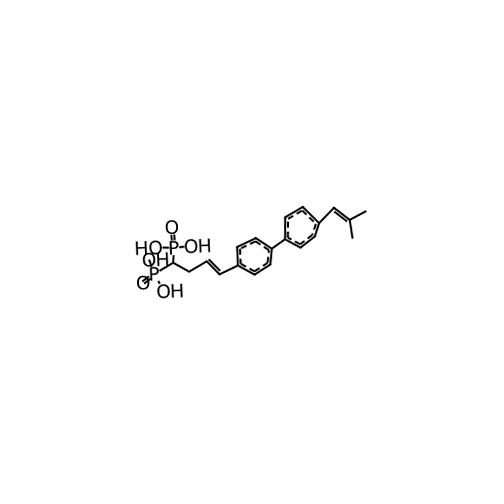 CC(C)=Cc1ccc(-c2ccc(/C=C/CC(P(=O)(O)O)P(=O)(O)O)cc2)cc1